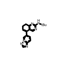 CC(C)(C)Nc1ncc2c(n1)CCC=C2c1ccc2ncnn2c1